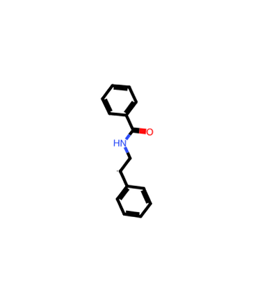 O=C(NC[CH]c1ccccc1)c1ccccc1